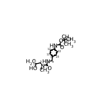 C=C(O)CN(C)C(=O)NCc1ccc(NC(=O)OC(C)(C)C)cc1